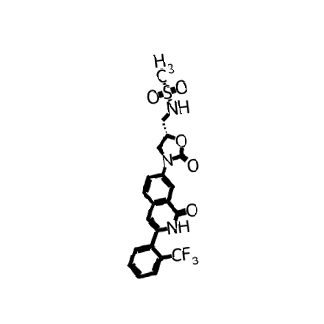 CS(=O)(=O)NC[C@H]1CN(c2ccc3cc(-c4ccccc4C(F)(F)F)[nH]c(=O)c3c2)C(=O)O1